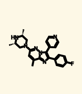 Cc1cc(N2C[C@@H](C)N[C@@H](C)C2)nn2c(-c3ccncc3)c(-c3ccc(F)cc3)nc12